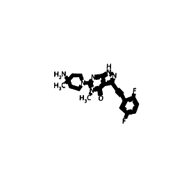 Cn1c(N2CCC(C)(N)CC2)nc2[nH]nc(C#Cc3cc(F)ccc3F)c2c1=O